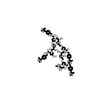 Cc1nnc([C@H](C(=O)N2C[C@H](OCc3nnc([C@H](C(=O)N4C[C@H](OCc5noc([C@H](C(=O)N6C[C@H](Oc7nsc([C@H](C(=O)N8C[C@H](O)C[C@H]8C(=O)NCc8ccc(-c9scnc9C)cc8)C(C)C)n7)C[C@H]6C(=O)NCc6ccc(-c7scnc7C)cc6)C(C)C)n5)C[C@H]4C(=O)NCc4ccc(-c5scnc5C)cc4)C(C)C)[nH]3)C[C@H]2C(=O)NCc2ccc(-c3scnc3C)cc2)C(C)C)o1